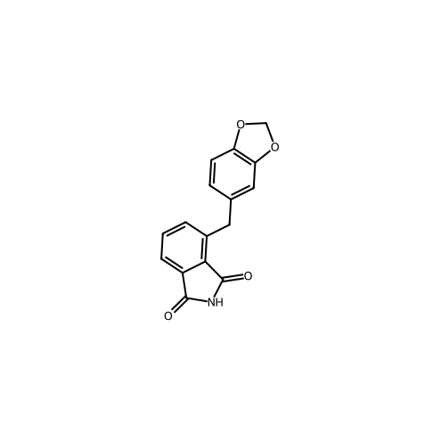 O=C1NC(=O)c2c(Cc3ccc4c(c3)OCO4)cccc21